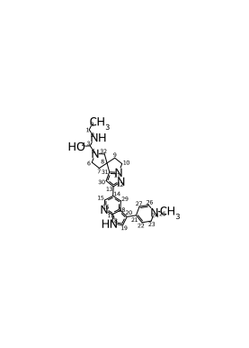 CCNC(O)N1CCC2(CCn3nc(-c4cnc5[nH]cc(C6=CCN(C)C=C6)c5c4)cc32)C1